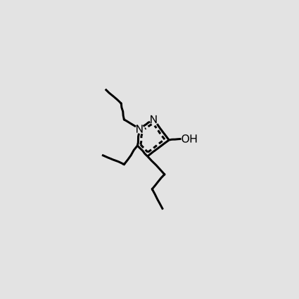 CCCc1c(O)nn(CCC)c1CC